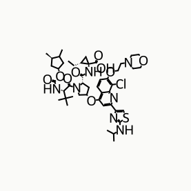 CC[C@@H]1C[C@]1(NC(=O)[C@@H]1C[C@@H](Oc2cc(-c3csc(NC(C)C)n3)nc3c(Cl)c(OCCN4CCOCC4)ccc23)CN1C(=O)[C@@H](NC(=O)O[C@@H]1CC(C)[C@H](C)C1)C(C)(C)C)C(=O)O